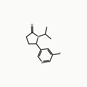 CC(C)N1C(=O)CCC1c1cncc(F)c1